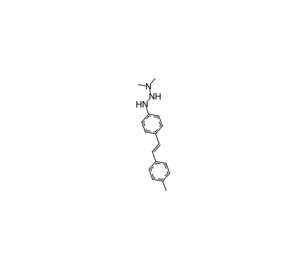 Cc1ccc(/C=C/c2ccc(NNN(C)C)cc2)cc1